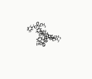 CC(C(=O)OCc1ccccc1)c1cccc(NC(=O)NCC(=O)N2[C@H](C(=O)OC(C)(C)C)S[C@@H](C(=O)O)[C@@H]2c2ccccc2)c1